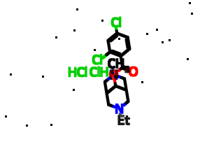 CCN1CC2CN(C)CC(C1)C2OC(=O)c1ccc(Cl)cc1Cl.Cl.Cl